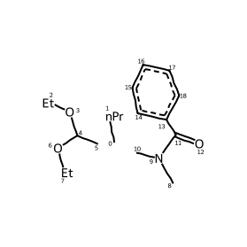 CCCC.CCOC(C)OCC.CN(C)C(=O)c1ccccc1